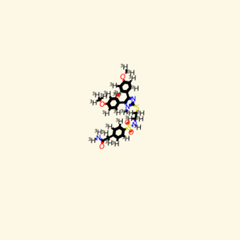 [3H]c1c([3H])c(-c2nc(SC([3H])([3H])C([3H])([3H])N([3H])S(=O)(=O)c3c([3H])c([3H])c(C([3H])([3H])C(=O)N([3H])[3H])c([3H])c3[3H])n([3H])c2-c2c([3H])c([3H])c(OC([3H])([3H])[3H])c([3H])c2[3H])c([3H])c([3H])c1OC([3H])[3H]